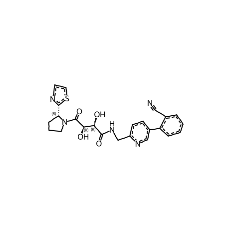 N#Cc1ccccc1-c1ccc(CNC(=O)[C@H](O)[C@@H](O)C(=O)N2CCC[C@@H]2c2nccs2)nc1